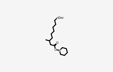 CCCCCCCCCCCCCCCCC(C)CC(=O)ON1CCCCC1